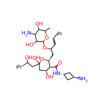 CC(C)/C=C/C(C[C@@H]1OC(O)(CC(O)C(C)C)C[C@H](O)C1C(=O)N[C@H]1C[C@H](N)C1)OC1OC(C)C(O)C(N)C1O